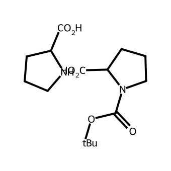 CC(C)(C)OC(=O)N1CCCC1C(=O)O.O=C(O)C1CCCN1